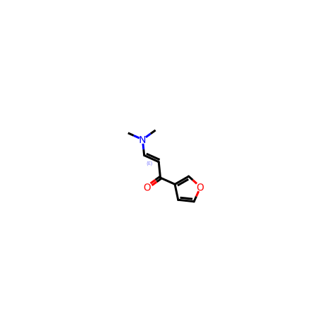 CN(C)/C=C/C(=O)c1ccoc1